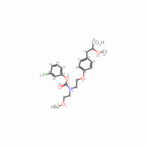 CCCCOCCN(CCOc1ccc(CC(OCC)C(=O)O)cc1)C(=O)Oc1cccc(F)c1